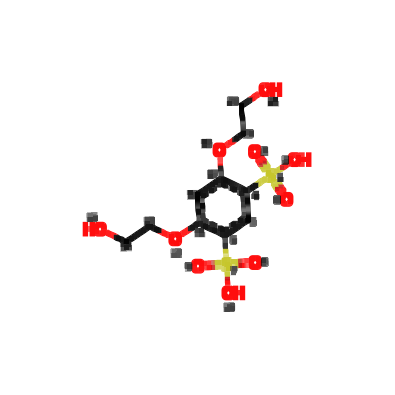 O=S(=O)(O)c1cc(S(=O)(=O)O)c(OCCO)cc1OCCO